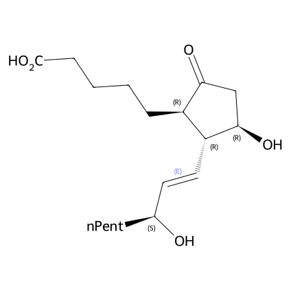 CCCCC[C@H](O)/C=C/[C@H]1[C@H](O)CC(=O)[C@@H]1CCCCC(=O)O